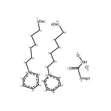 CCCCCCCC(=O)N[O-].CCCCCCCCCCCCCCCC[n+]1ccccc1.CCCCCCCCCCCCCCCC[n+]1ccccc1.[Cl-]